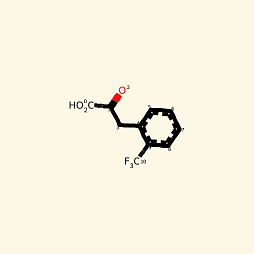 O=C(O)C(=O)Cc1ccccc1C(F)(F)F